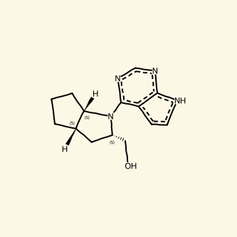 OC[C@@H]1C[C@@H]2CCC[C@@H]2N1c1ncnc2[nH]ccc12